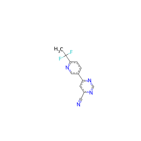 CC(F)(F)c1ccc(-c2cc(C#N)ncn2)cn1